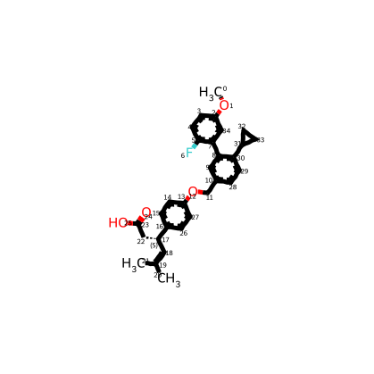 COc1ccc(F)c(-c2cc(COc3ccc([C@H](C=C(C)C)CC(=O)O)cc3)ccc2C2CC2)c1